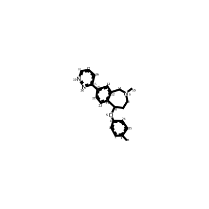 Cc1ccc(OC2CCN(C)Cc3cc(-c4cccnn4)ccc32)cc1